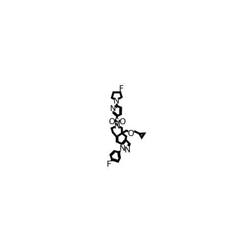 O=S(=O)(c1ccc(N2CCC(F)C2)nc1)N1CCC2=Cc3c(cnn3-c3ccc(F)cc3)CC2(COCC2CC2)C1